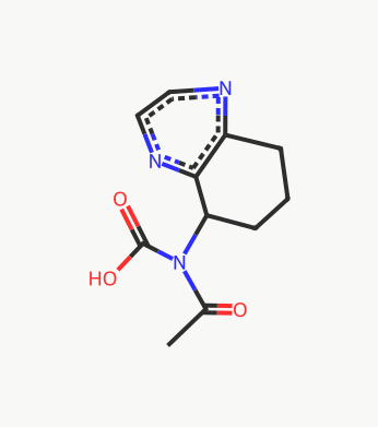 CC(=O)N(C(=O)O)C1CCCc2nccnc21